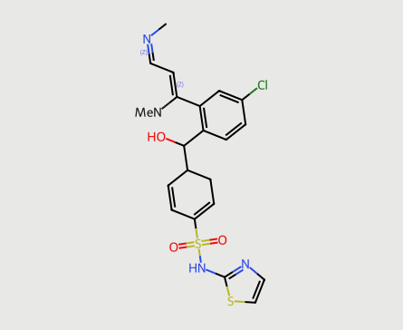 C/N=C\C=C(/NC)c1cc(Cl)ccc1C(O)C1C=CC(S(=O)(=O)Nc2nccs2)=CC1